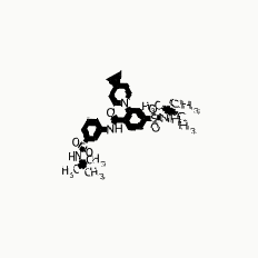 CC(C)(C)NS(=O)(=O)c1cccc(NC(=O)c2ccc(S(=O)(=O)NC(C)(C)C)cc2N2CCC3(CC2)CC3)c1